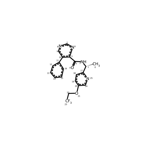 C[C@@H](NC(=O)c1ncncc1-c1ccccc1)c1ccc(OCC(F)(F)F)cn1